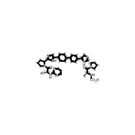 CC(C)[C@H](Nc1ncccn1)C(=O)N1CCCC1c1ncc(-c2ccc(-c3ccc(-c4cnc([C@@H]5CCCN5C(=O)[C@H](C)NC(=O)O)[nH]4)cc3)cc2)[nH]1